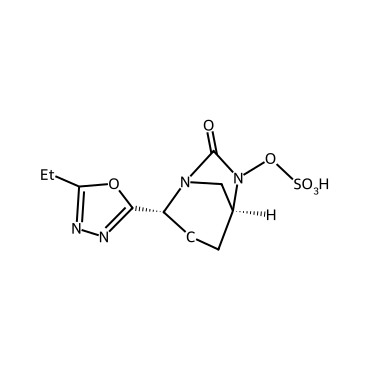 CCc1nnc([C@H]2CC[C@H]3CN2C(=O)N3OS(=O)(=O)O)o1